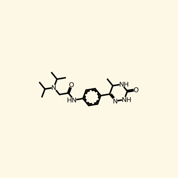 CC1NC(=O)NN=C1c1ccc(NC(=O)CN(C(C)C)C(C)C)cc1